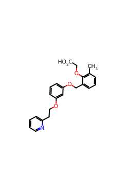 Cc1cccc(COc2cccc(OCCc3ccccn3)c2)c1OCC(=O)O